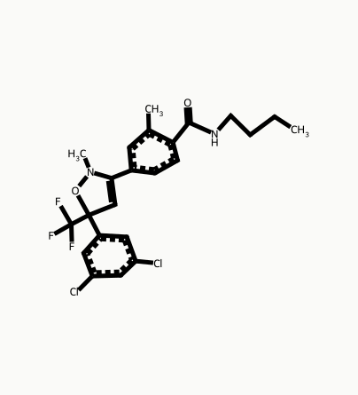 CCCCNC(=O)c1ccc(C2=CC(c3cc(Cl)cc(Cl)c3)(C(F)(F)F)ON2C)cc1C